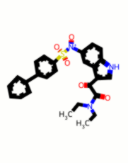 CCN(CC)C(=O)C(=O)c1c[nH]c2ccc([N+](=O)S(=O)(=O)c3ccc(-c4ccccc4)cc3)cc12